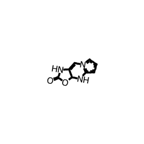 O=C1NC2=Cn3cccc3NC2O1